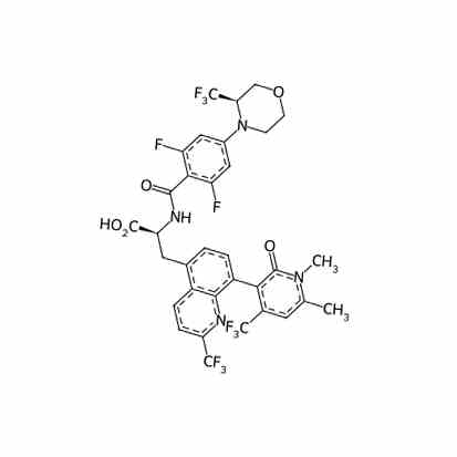 Cc1cc(C(F)(F)F)c(-c2ccc(C[C@H](NC(=O)c3c(F)cc(N4CCOC[C@@H]4C(F)(F)F)cc3F)C(=O)O)c3ccc(C(F)(F)F)nc23)c(=O)n1C